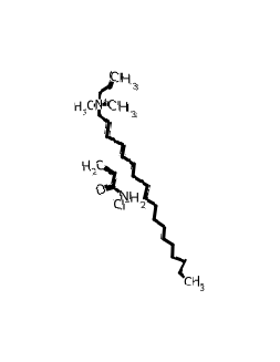 C=CC(N)=O.CCCCCCCCCCCCCCCCCC[N+](C)(C)CCC.[Cl-]